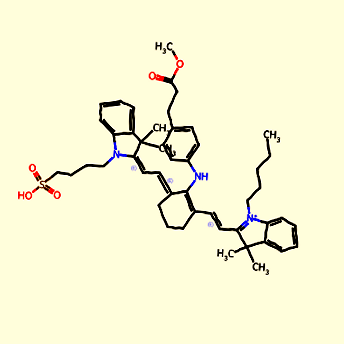 CCCCC[N+]1=C(/C=C/C2=C(Nc3ccc(CCC(=O)OC)cc3)C(=C/C=C3/N(CCCCS(=O)(=O)O)c4ccccc4C3(C)C)/CCC2)C(C)(C)c2ccccc21